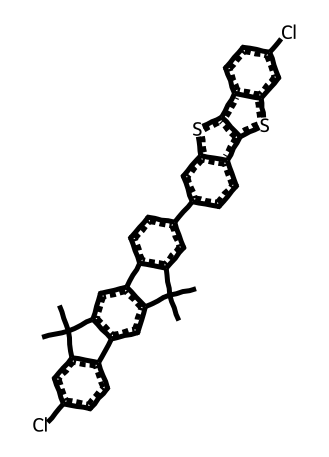 CC1(C)c2cc(Cl)ccc2-c2cc3c(cc21)-c1ccc(-c2ccc4c(c2)sc2c5ccc(Cl)cc5sc42)cc1C3(C)C